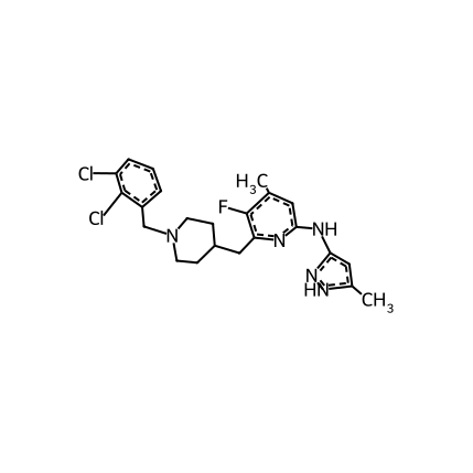 Cc1cc(Nc2cc(C)c(F)c(CC3CCN(Cc4cccc(Cl)c4Cl)CC3)n2)n[nH]1